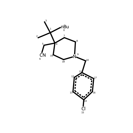 CCCCC(C)(C)C1(CC#N)CCN(Cc2ccc(Cl)cc2)CC1